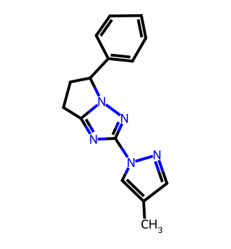 Cc1cnn(-c2nc3n(n2)C(c2ccccc2)CC3)c1